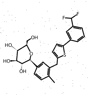 Cc1ccc([C@@H]2O[C@H](CO)[C@@H](O)[C@H](O)[C@H]2O)cc1Cc1ccc(-c2cccc(C(F)F)c2)s1